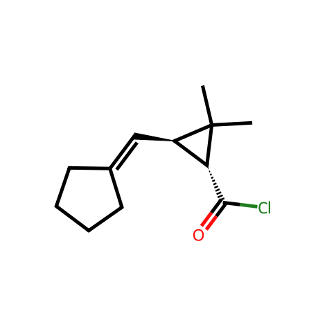 CC1(C)[C@H](C=C2CCCC2)[C@H]1C(=O)Cl